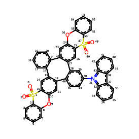 O=S1(=O)c2ccccc2Oc2cc3c(cc21)-c1ccccc1-c1cc2c(cc1-c1cc(-n4c5ccccc5c5ccccc54)ccc1-3)S(=O)(=O)c1ccccc1O2